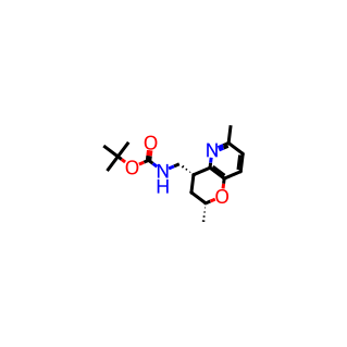 Cc1ccc2c(n1)[C@@H](CNC(=O)OC(C)(C)C)C[C@@H](C)O2